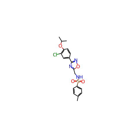 Cc1ccc(S(=O)(=O)NCc2nc(-c3ccc(OC(C)C)c(Cl)c3)no2)cc1